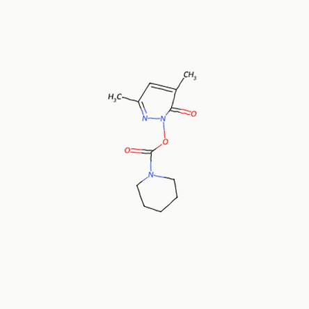 Cc1cc(C)c(=O)n(OC(=O)N2CCCCC2)n1